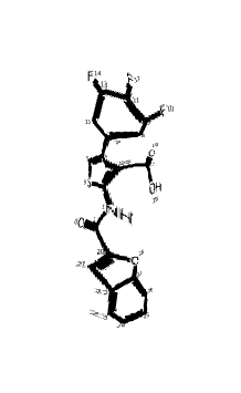 O=C(Nc1scc(-c2cc(F)c(F)c(F)c2)c1C(=O)O)c1cc2ccccc2o1